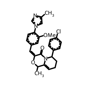 COc1cc(C=C2OC(C)C3=CCCC(c4ccc(Cl)cc4)N3C2=O)ccc1-n1cnc(C)c1